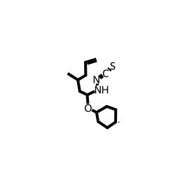 C=CCC(C)CC(NN=C=S)OC1CC[CH]CC1